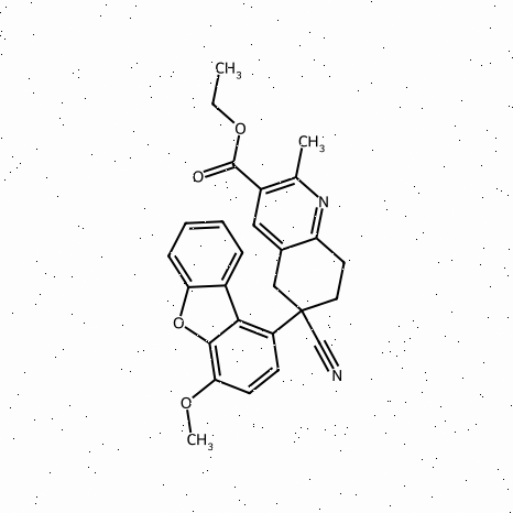 CCOC(=O)c1cc2c(nc1C)CCC(C#N)(c1ccc(OC)c3oc4ccccc4c13)C2